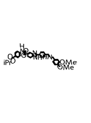 COc1ccc(CNCc2ccc(-c3nc4cc(S(=O)(=O)Nc5ccc(C(=O)OC(C)C)cc5)ccc4[nH]3)cc2)cc1OC